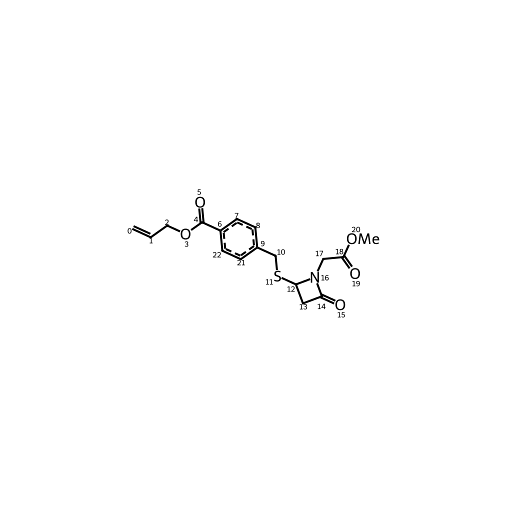 C=CCOC(=O)c1ccc(CSC2CC(=O)N2CC(=O)OC)cc1